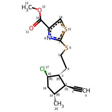 C#C[C@@H]1[C@@H](CCSc2nc(C(=O)OC)cs2)[C@H](Cl)C[C@H]1C